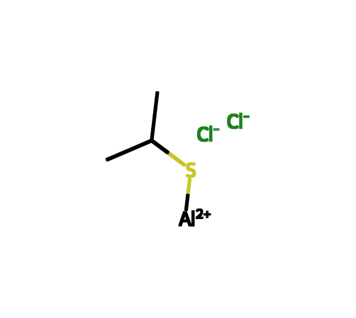 CC(C)[S][Al+2].[Cl-].[Cl-]